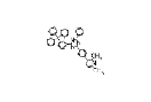 Cc1ccc(-c2ccc(-c3nc(-c4ccccc4)nc(-c4cccc5c4-c4ccccc4C5(c4ccccc4)c4ccccc4)n3)cc2)c(C)n1